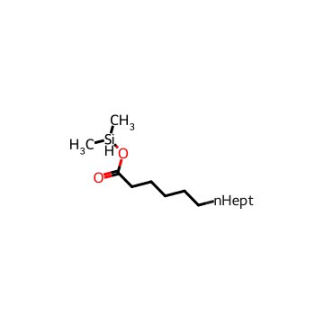 CCCCCCCCCCCCC(=O)O[SiH](C)C